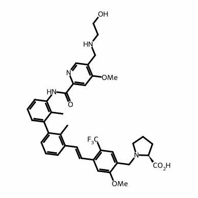 COc1cc(C(=O)Nc2cccc(-c3cccc(/C=C/c4cc(OC)c(CN5CCC[C@H]5C(=O)O)cc4C(F)(F)F)c3C)c2C)ncc1CNCCO